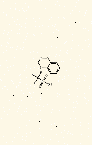 C1=Cc2ccccc2OC1.O=S(=O)(O)C(F)(F)F